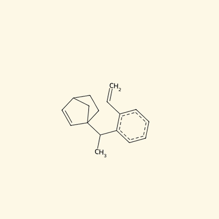 C=Cc1ccccc1C(C)C12C=CC(CC1)C2